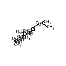 CCCCC(CC)COC(=O)CCc1ccc(NC(=O)NC2CC(C)(C)CC(C)(CNC(=O)Nc3nc(=O)cc(C)[nH]3)C2)cc1